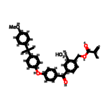 C=C(C)C(=O)OCc1ccc(C(=O)c2ccc(Oc3ccc(C(C)(C)c4ccc(OC)cc4)cc3)cc2)cc1S(=O)(=O)O